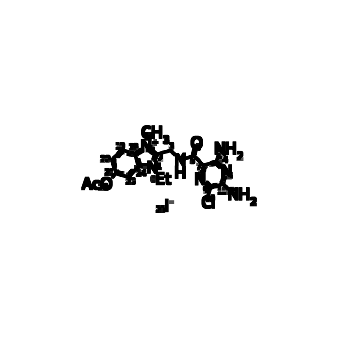 CCn1c(CNC(=O)c2nc(Cl)c(N)nc2N)[n+](C)c2ccc(OC(C)=O)cc21.[I-]